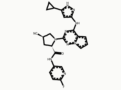 N#C[C@@H]1C[C@@H](C(=O)Nc2ccc(F)nc2)N(c2nc(Nc3cc(C4CC4)[nH]n3)c3cccn3n2)C1